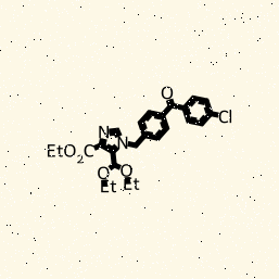 CCOC(=O)c1ncn(Cc2ccc(C(=O)c3ccc(Cl)cc3)cc2)c1C(OCC)OCC